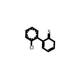 S=C1CC=CC=C1c1cc[c]cc1Cl